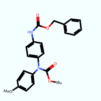 COc1ccc(N(C(=O)OC(C)(C)C)c2ccc(NC(=O)OCc3ccccc3)cc2)cc1